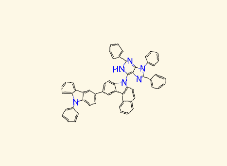 c1ccc(-c2nc3c(n2-c2ccccc2)=NC(c2ccccc2)NC=3n2c3ccc(-c4ccc5c(c4)c4ccccc4n5-c4ccccc4)cc3c3c4ccccc4ccc32)cc1